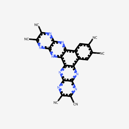 [C-]#[N+]c1cc2c(cc1[N+]#[C-])c1nc3nc(C#N)c(C#N)nc3nc1c1nc3nc(C#N)c(C#N)nc3nc21